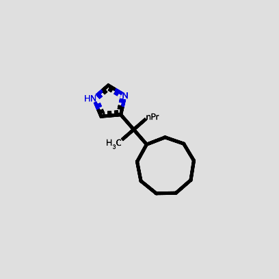 CCCC(C)(c1c[nH]cn1)C1CCCCCCCC1